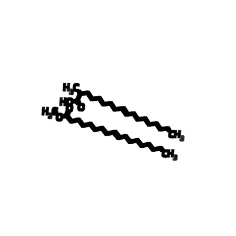 CCCCCCCC/C=C/CCCCCCC(C)C(=O)O.CCCCCCCC/C=C/CCCCCCCC(=O)OC